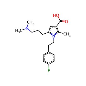 Cc1c(C(=O)O)cc(CCCN(C)C)n1CCc1ccc(F)cc1